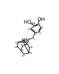 Oc1ccc(CNC23CC4CC(CC(C4)C2)C3)cc1O